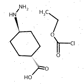 CCOC(=O)Cl.NN[C@H]1CC[C@H](C(=O)O)CC1